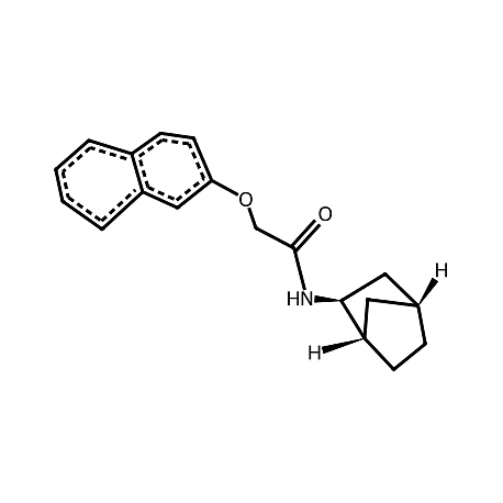 O=C(COc1ccc2ccccc2c1)N[C@H]1C[C@@H]2CC[C@H]1C2